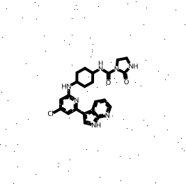 O=C1NCCN1C(=O)NC1CCC(Nc2cc(Cl)cc(-c3c[nH]c4ncccc34)n2)CC1